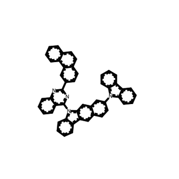 c1ccc2c(c1)ccc1ccc(-c3nc(-n4c5ccccc5c5cc6ccc(-n7c8ccccc8c8ccccc87)cc6cc54)c4ccccc4n3)cc12